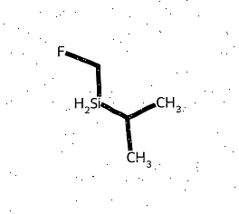 CC(C)[SiH2]CF